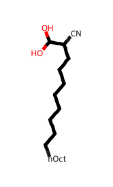 CCCCCCCCCCCCCCCCC(C#N)C(O)O